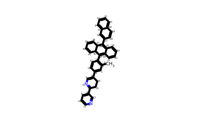 Cc1cc(C2=CN=C(c3cccnc3)CC2)ccc1C1=c2ccccc2=C(c2ccc3ccccc3c2)C2C=CC=CC12